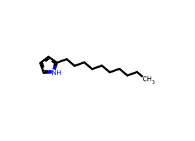 CCCCCCCCCCc1ccc[nH]1